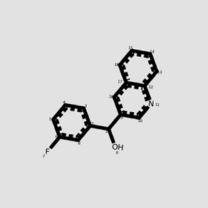 OC(c1cccc(F)c1)c1cnc2ccccc2c1